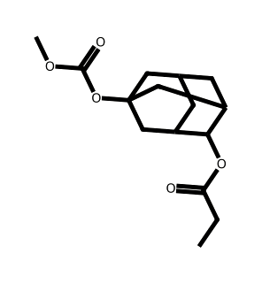 CCC(=O)OC1C2CC3CC1CC(OC(=O)OC)(C3)C2